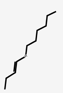 CCC=C[P]CCCCCC